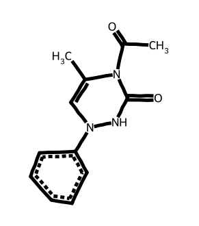 CC(=O)N1C(=O)NN(c2ccccc2)C=C1C